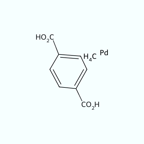 C.O=C(O)c1ccc(C(=O)O)cc1.[Pd]